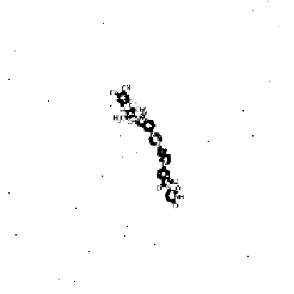 CC1(C)[C@H](Oc2ccc(C#N)c(Cl)c2)C(C)(C)[C@H]1N1Cc2cc(N3CCN(C4CC5(CCN(c6ccc7c(c6)C(=O)N(C6CCC(=O)NC6=O)C7=O)C5)C4)CC3)ccc2C1=O